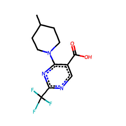 CC1CCN(c2nc(C(F)(F)F)ncc2C(=O)O)CC1